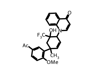 COc1ccc(C(C)=O)cc1C1(C)C=CC(n2ccc(=O)c3ccccc32)C(O)(C(F)(F)F)C1